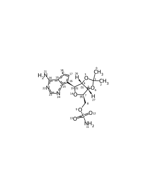 CC1(C)O[C@@H]2[C@H](O1)[C@@H](COS(N)(=O)=O)O[C@H]2c1csc2c(N)ncnc12